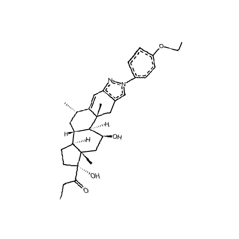 CCOc1ccc(-n2cc3c(n2)C=C2[C@@H](C)C[C@@H]4[C@H]([C@@H](O)C[C@@]5(C)[C@H]4CC[C@]5(O)C(=O)CC)[C@@]2(C)C3)cc1